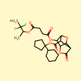 CC(OC(=O)CCC(=O)OC1C2OC(=O)C3C2OC1C3C(=O)OC1(C2CCCCC2)CCCC1)C(F)(F)S(=O)(=O)O